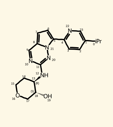 CC(C)c1ccc(-c2ccc3cnc(N[C@@H]4CCOC[C@H]4O)nn23)nc1